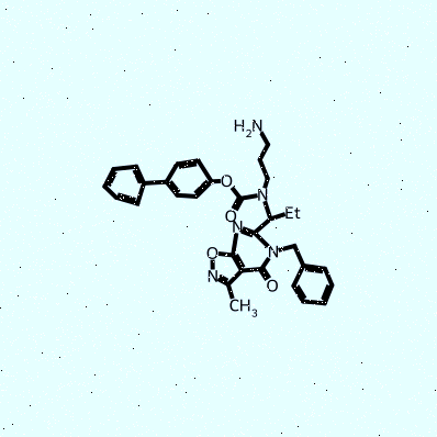 CCC(c1nc2onc(C)c2c(=O)n1Cc1ccccc1)N(CCCN)C(=O)Oc1ccc(-c2ccccc2)cc1